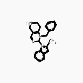 Cc1cc2ccccc2n1C1N=CC2=C(CCNC2)N1Cc1ccccc1